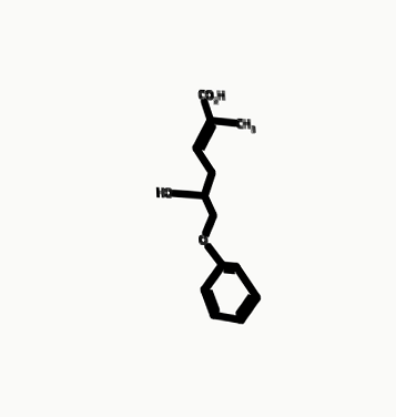 C/C(=C\CC(O)COc1ccccc1)C(=O)O